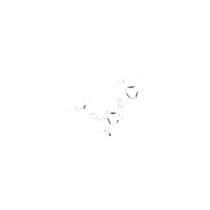 NC(=O)CCNc1nc(NCc2ccc(Cl)c(Cl)c2)ncc1[N+](=O)[O-]